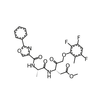 COC(=O)C[C@H](NC(=O)[C@H](C)NC(=O)c1coc(-c2ccccc2)n1)C(=O)COc1c(C)c(F)cc(F)c1F